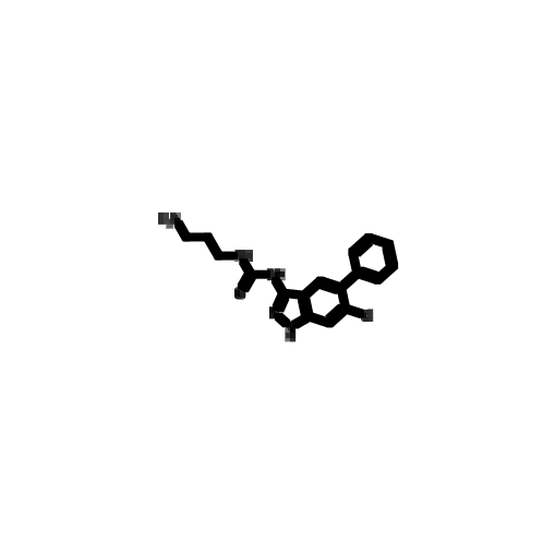 NCCCNC(=O)Nc1n[nH]c2cc(Cl)c(-c3ccccc3)cc12